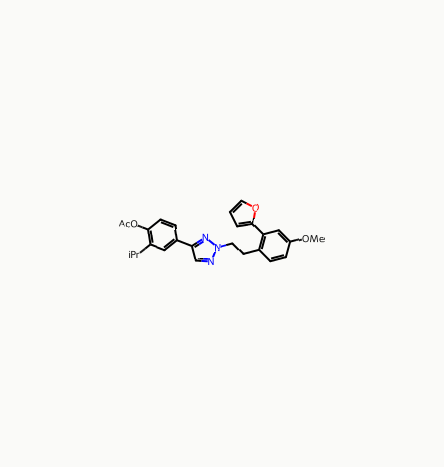 COc1ccc(CCn2ncc(-c3ccc(OC(C)=O)c(C(C)C)c3)n2)c(-c2ccco2)c1